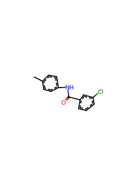 Cc1ccc(NC(=O)c2cccc(Cl)c2)cc1